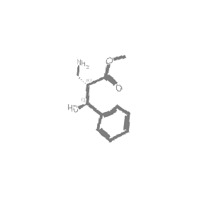 COC(=O)[C@@H](CN)[C@H](O)c1ccccc1